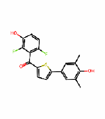 Cc1cc(-c2ccc(C(=O)c3c(F)ccc(O)c3F)s2)cc(C)c1O